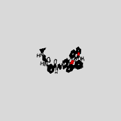 O=C(CCNC1CC1)Nc1cccc(C(=O)NCCN2CCC(OC(=O)N(c3ccccc3-c3ccccc3)N(C(=O)O)c3ccccc3-c3ccccc3)CC2)c1